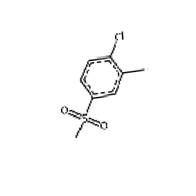 [CH2]c1cc(S(C)(=O)=O)ccc1Cl